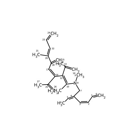 C=C/C=C\C(=C/C)CN(C)/C(C)=C(C(=C)C)/C(=C\C(=C)/C(C)=C/C=C)C(=C)C